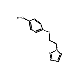 COc1ccc(SCCn2ccnn2)cc1